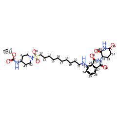 CC(C)(C)OC(=O)NC1CCN(S(=O)(=O)CCCCCCCCCCNc2cccc3c2C(=O)N(C2CCC(=O)NC2=O)C3=O)CC1